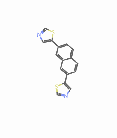 c1ncc(-c2ccc3ccc(-c4cncs4)cc3c2)s1